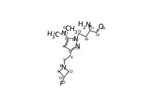 CN(C)c1cc(CCN2CC(F)C2)nn1CCC(N)C=O